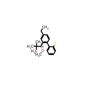 CCc1ccc(-c2ccccc2F)c([C@H](OC)C(C)(C)C)c1